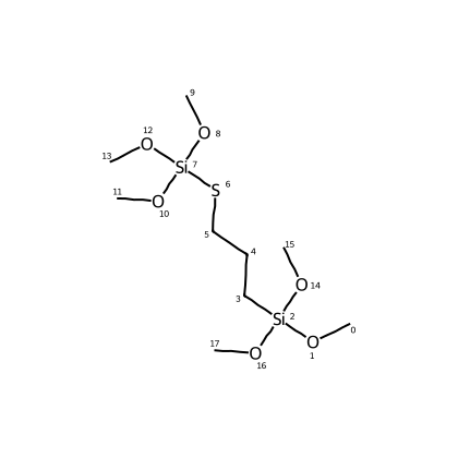 CO[Si](CCCS[Si](OC)(OC)OC)(OC)OC